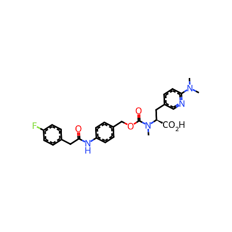 CN(C)c1ccc(C[C@@H](C(=O)O)N(C)C(=O)OCc2ccc(NC(=O)Cc3ccc(F)cc3)cc2)cn1